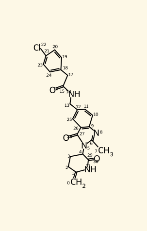 C=C1CCC(n2c(C)nc3ccc(CNC(=O)Cc4ccc(Cl)cc4)cc3c2=O)C(=O)N1